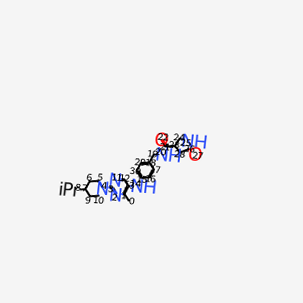 Cc1nc(N2CCC(C(C)C)CC2)ncc1Nc1ccc(CNC(=O)C2CNC(=O)C2)cc1